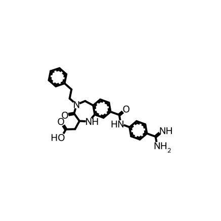 N=C(N)c1ccc(NC(=O)c2ccc3c(c2)NC(CC(=O)O)C(=O)N(CCc2ccccc2)C3)cc1